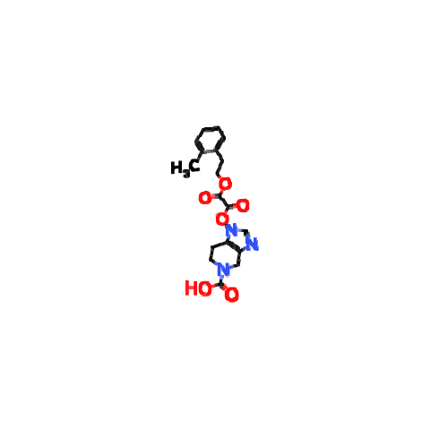 Cc1ccccc1CCOC(=O)C(=O)On1cnc2c1CCN(C(=O)O)C2